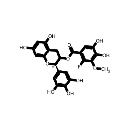 COc1c(O)c(O)cc(C(=O)OC2Cc3c(O)cc(O)cc3O[C@@H]2c2cc(O)c(O)c(O)c2)c1F